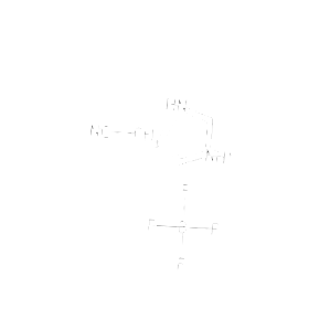 CC#N.F[B-](F)(F)F.c1c[nH+]c[nH]1